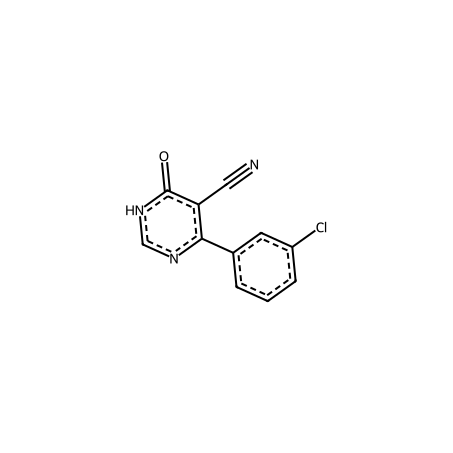 N#Cc1c(-c2cccc(Cl)c2)nc[nH]c1=O